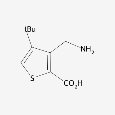 CC(C)(C)c1csc(C(=O)O)c1CN